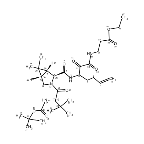 C=CCCC(NC(=O)[C@@H]1[C@@H]2[C@H](CN1C(=O)[C@@H](NC(=O)OC(C)(C)C)C(C)(C)C)C2(C)C)C(=O)C(=O)NCCC(=O)OCC